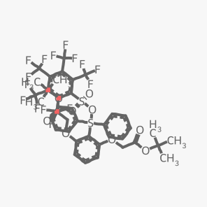 CC(C)(C)OC(=O)COc1cccc(OCC(=O)OC(C)(C)C)c1S(OS(=O)(=O)c1c(C(F)(F)F)c(C(F)(F)F)c(C(F)(F)F)c(C(F)(F)F)c1C(F)(F)F)(c1ccccc1)c1ccccc1